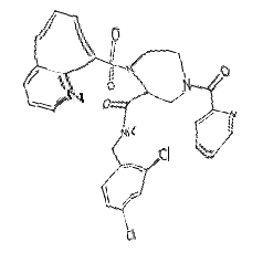 O=C(NCc1ccc(Cl)cc1Cl)C1CN(C(=O)c2ccccn2)CCN1S(=O)(=O)c1cccc2cccnc12